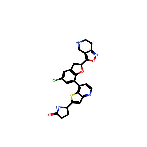 O=C1CCC(c2cc3nccc(-c4cc(Cl)cc5c4OC(c4onc6c4CNCC6)C5)c3s2)N1